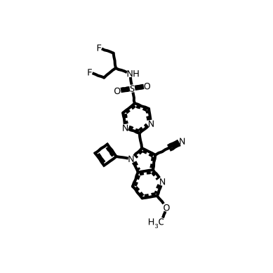 COc1ccc2c(n1)c(C#N)c(-c1ncc(S(=O)(=O)NC(CF)CF)cn1)n2C1=CC=C1